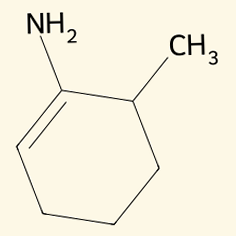 CC1CCCC=C1N